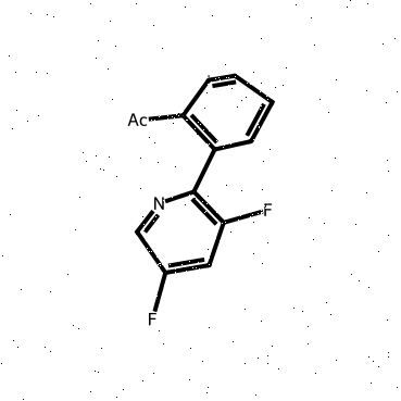 CC(=O)c1[c]cccc1-c1ncc(F)cc1F